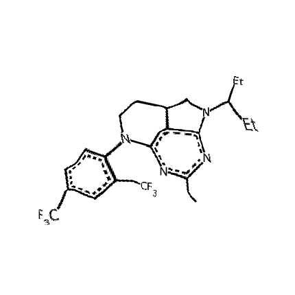 CCC(CC)N1CC2CCN(c3ccc(C(F)(F)F)cc3C(F)(F)F)c3nc(C)nc1c32